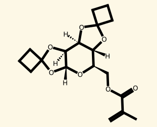 C=C(C)C(=O)OC[C@H]1O[C@@H]2OC3(CCC3)O[C@H]2[C@H]2OC3(CCC3)O[C@@H]21